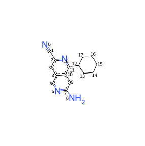 N#Cc1cc2cnc(N)cc2c(C2CCCCC2)n1